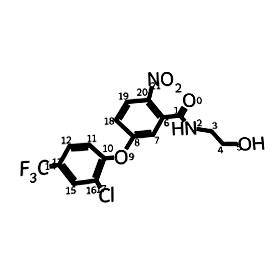 O=C(NCCO)c1cc(Oc2ccc(C(F)(F)F)cc2Cl)ccc1[N+](=O)[O-]